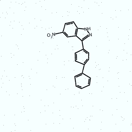 O=[N+]([O-])c1ccc2[nH]nc(-c3ccc(-c4ccccc4)cc3)c2c1